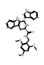 COc1cc(OC)c(CNC(=O)[C@H]2Cc3c([nH]c4ccccc34)[C@H](c3c[nH]c4ccccc34)N2)c(OC)c1